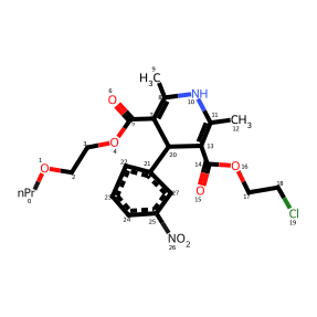 CCCOCCOC(=O)C1=C(C)NC(C)=C(C(=O)OCCCl)C1c1cccc([N+](=O)[O-])c1